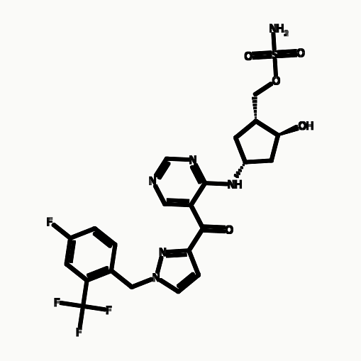 NS(=O)(=O)OC[C@H]1C[C@@H](Nc2ncncc2C(=O)c2ccn(Cc3ccc(F)cc3C(F)(F)F)n2)C[C@@H]1O